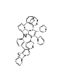 c1ccc(-c2c(-c3ccccc3)c(-c3ccccc3)c3c(c2-c2ccccc2)c2c(-c4ccccc4)cccc2n3-c2cccc(-c3cccc4c3sc3ccccc34)c2)cc1